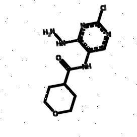 NNc1nc(Cl)ncc1NC(=O)C1CCOCC1